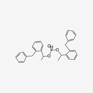 CC(O[PH](=O)OC(C)c1ccccc1Cc1ccccc1)c1ccccc1Cc1ccccc1